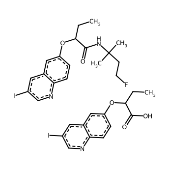 CCC(Oc1ccc2ncc(I)cc2c1)C(=O)NC(C)(C)CCF.CCC(Oc1ccc2ncc(I)cc2c1)C(=O)O